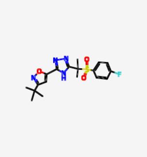 CC(C)(C)c1cc(-c2nnc(C(C)(C)S(=O)(=O)c3ccc(F)cc3)[nH]2)on1